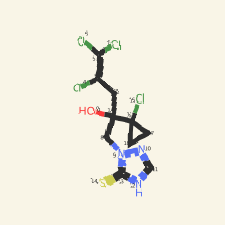 OC(CC(Cl)=C(Cl)Cl)(Cn1nc[nH]c1=S)C1(Cl)CC1